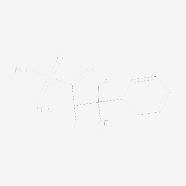 CC(=O)OC(c1ccccc1)(C(F)(F)F)[C@@](C)(Cl)C(=O)S(C)(=O)=O